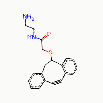 NCCNC(=O)COC1Cc2ccccc2C#Cc2ccccc21